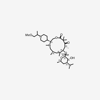 COCC(C)N1CCC([C@H]2COC(=O)C(C)(C)C(=O)[C@H](C)[C@@H](O[C@@H]3O[C@H](C)C[C@H](N(C)C)[C@H]3O)[C@](C)(OC)C[C@@H](C)CN2C)CC1